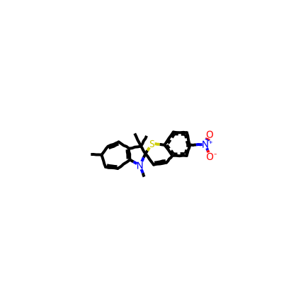 CC1C=CC2=C(C=C1)C(C)(C)C1(C=Cc3cc([N+](=O)[O-])ccc3S1)N2C